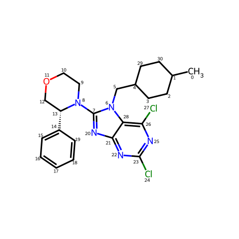 CC1CCC(Cn2c(N3CCOC[C@H]3c3ccccc3)nc3nc(Cl)nc(Cl)c32)CC1